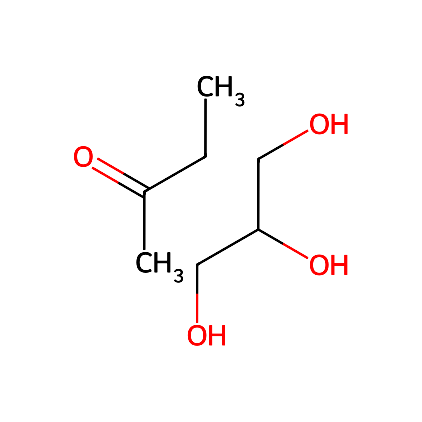 CCC(C)=O.OCC(O)CO